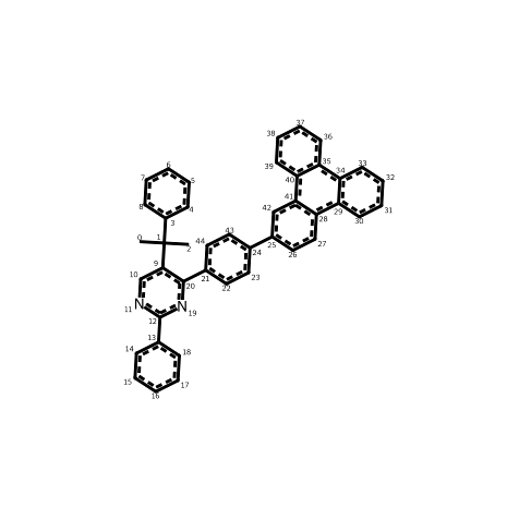 CC(C)(c1ccccc1)c1cnc(-c2ccccc2)nc1-c1ccc(-c2ccc3c4ccccc4c4ccccc4c3c2)cc1